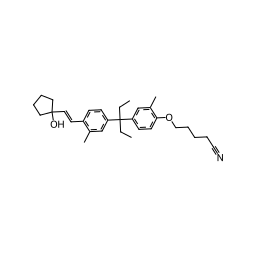 CCC(CC)(c1ccc(C=CC2(O)CCCC2)c(C)c1)c1ccc(OCCCCC#N)c(C)c1